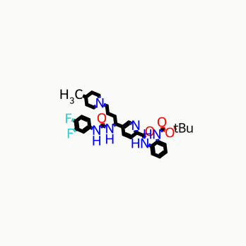 CC1CCN(CCCC(NC(=O)Nc2ccc(F)c(F)c2)c2ccc(C(=O)Nc3ccccc3NC(=O)OC(C)(C)C)nc2)CC1